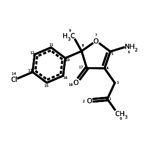 CC(=O)CC1=C(N)OC(C)(c2ccc(Cl)cc2)C1=O